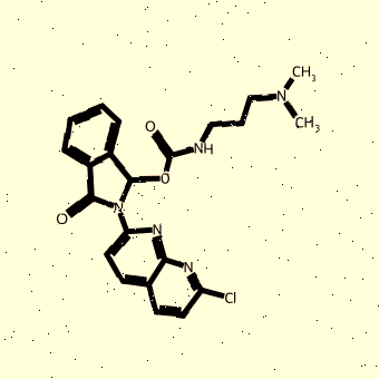 CN(C)CCCNC(=O)OC1c2ccccc2C(=O)N1c1ccc2ccc(Cl)nc2n1